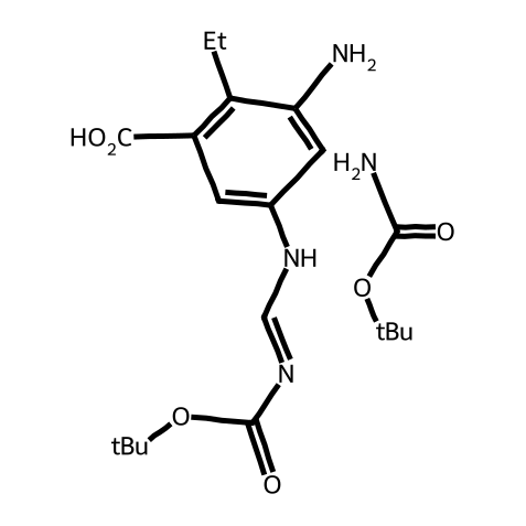 CC(C)(C)OC(N)=O.CCc1c(N)cc(NC=NC(=O)OC(C)(C)C)cc1C(=O)O